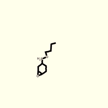 CCCCO[SiH2]C1CCC2OC2C1